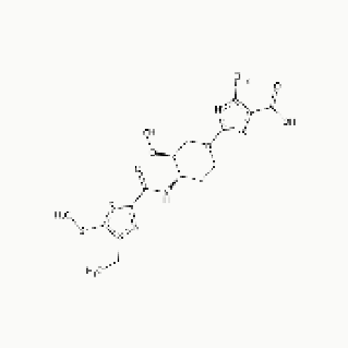 CCc1[nH]c(C(=O)N[C@@H]2CCN(c3nc(C)c(C(=O)O)s3)C[C@@H]2OC)nc1SC